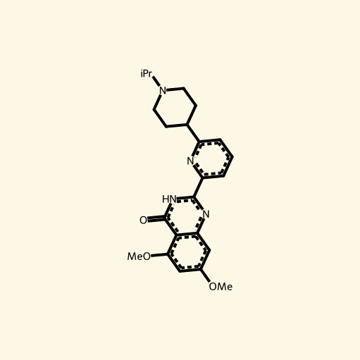 COc1cc(OC)c2c(=O)[nH]c(-c3cccc(C4CCN(C(C)C)CC4)n3)nc2c1